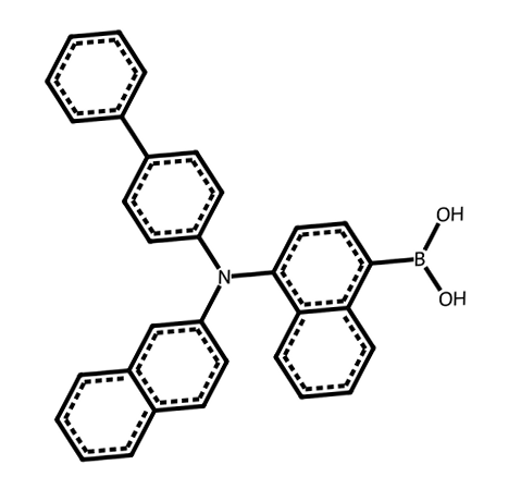 OB(O)c1ccc(N(c2ccc(-c3ccccc3)cc2)c2ccc3ccccc3c2)c2ccccc12